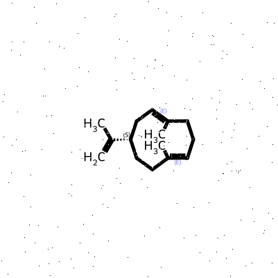 C=C(C)[C@@H]1C/C=C(\C)CC/C=C(\C)CC1